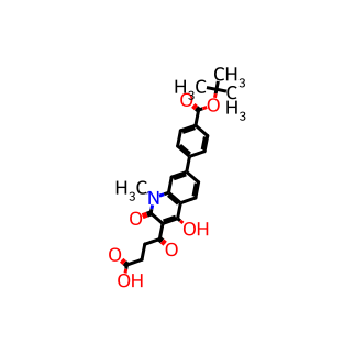 Cn1c(=O)c(C(=O)CCC(=O)O)c(O)c2ccc(-c3ccc(C(=O)OC(C)(C)C)cc3)cc21